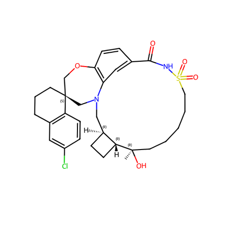 C[C@@]1(O)CCCCCS(=O)(=O)NC(=O)c2ccc3c(c2)N(C[C@@H]2CC[C@H]21)C[C@@]1(CCCc2cc(Cl)ccc21)CO3